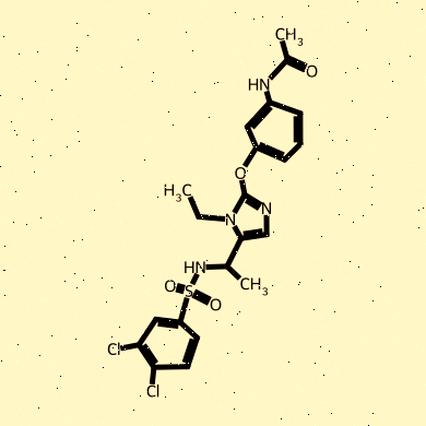 CCn1c(C(C)NS(=O)(=O)c2ccc(Cl)c(Cl)c2)cnc1Oc1cccc(NC(C)=O)c1